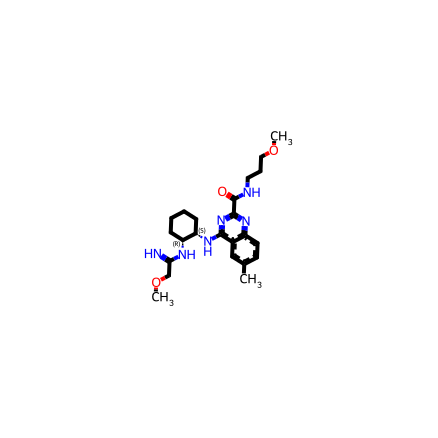 COCCCNC(=O)c1nc(N[C@H]2CCCC[C@H]2NC(=N)COC)c2cc(C)ccc2n1